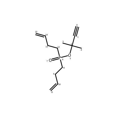 C#CC(C)(C)OP(=O)(CCC=C)CCC=C